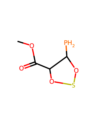 COC(=O)C1OSOC1P